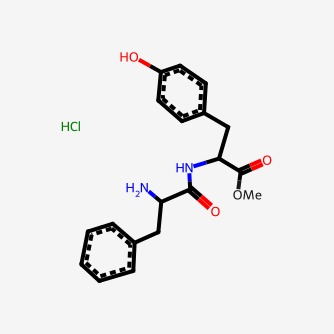 COC(=O)C(Cc1ccc(O)cc1)NC(=O)C(N)Cc1ccccc1.Cl